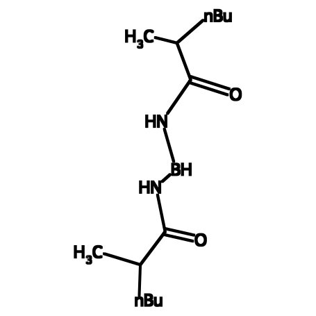 CCCCC(C)C(=O)NBNC(=O)C(C)CCCC